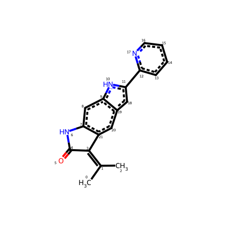 CC(C)=C1C(=O)Nc2cc3[nH]c(-c4ccccn4)cc3cc21